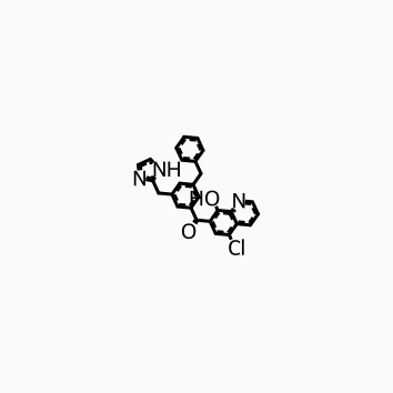 O=C(c1cc(Cc2ccccc2)cc(Cc2ncc[nH]2)c1)c1cc(Cl)c2cccnc2c1O